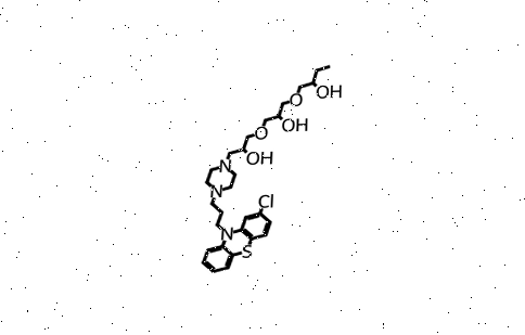 CCC(O)COCC(O)COCC(O)CN1CCN(CCCN2c3ccccc3Sc3ccc(Cl)cc32)CC1